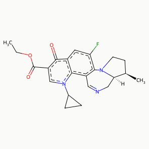 CCOC(=O)c1cn(C2CC2)c2c3c(c(F)cc2c1=O)N1CC[C@@H](C)[C@H]1CN=C3